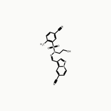 Cc1ccc(C#N)cc1S(=O)(=O)N(CCO)/N=C\c1cnn2ccc(C#N)cc12